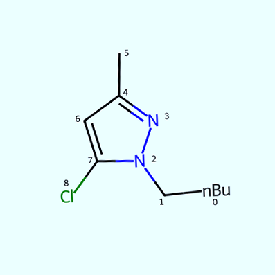 CCCCCn1nc(C)cc1Cl